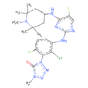 CN1C(C)(C)CC(Nc2nc(Nc3ccc(F)c(-n4nnn(C)c4=O)c3Cl)ncc2F)CC1(C)C